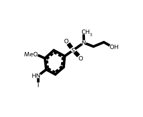 COc1cc(S(=O)(=O)N(C)CCO)ccc1NI